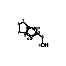 OCc1nc2c(s1)CCC2